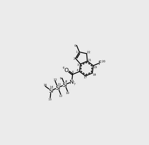 CC1=Cc2c(C(=O)[N][Si](C)(C)[Si](C)(C)[Si](C)C)ccc(F)c2C1